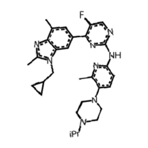 Cc1nc(Nc2ncc(F)c(-c3cc(C)c4nc(C)n(CC5CC5)c4c3)n2)ccc1N1CCN(C(C)C)CC1